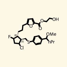 CCCC(OC)c1ccc(SC[C@H]2C(Cl)CC(F)[C@@H]2CCCc2ccc(C(=O)OCCO)o2)cc1